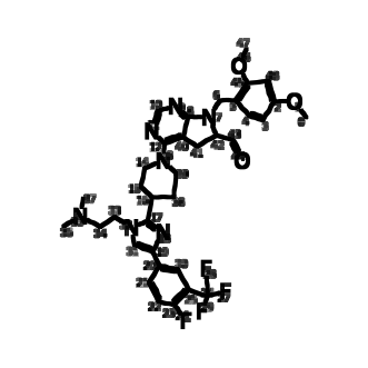 COc1ccc(CN2c3ncnc(N4CCC(c5nc(-c6ccc(F)c(C(F)(F)F)c6)cn5CCN(C)C)CC4)c3CC2C=O)c(OC)c1